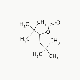 CC(C)(C)CC(OC=O)C(C)(C)C